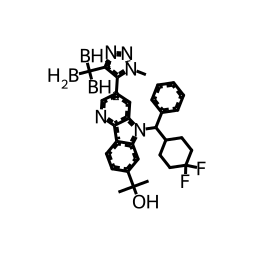 BC(B)(B)c1nnn(C)c1-c1cnc2c3ccc(C(C)(C)O)cc3n(C(c3ccccc3)C3CCC(F)(F)CC3)c2c1